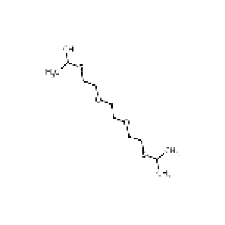 CC(C)SCCOCCOCCSC(C)C